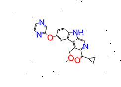 COCc1c(C(=O)C2CC2)ncc2[nH]c3ccc(Oc4cnccn4)cc3c12